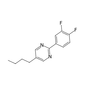 CCCCc1cnc(-c2ccc(F)c(F)c2)nc1